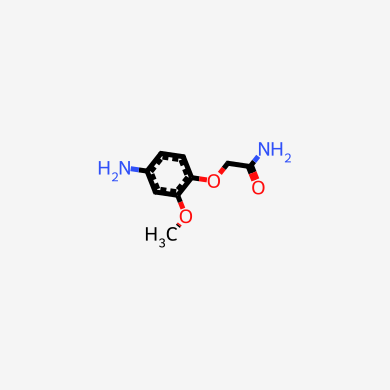 COc1cc(N)ccc1OCC(N)=O